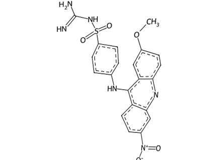 COc1ccc2nc3cc([N+](=O)[O-])ccc3c(Nc3ccc(S(=O)(=O)NC(=N)N)cc3)c2c1